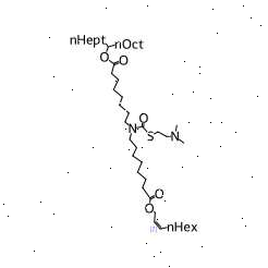 CCCCCC/C=C\COC(=O)CCCCCCCN(CCCCCCCC(=O)OC(CCCCCCC)CCCCCCCC)C(=O)SCCN(C)C